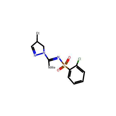 CCC1C=NN(/C(=N/S(=O)(=O)c2ccccc2Cl)NC)C1